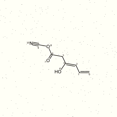 C=CC=C(O)CC(=O)OC#N